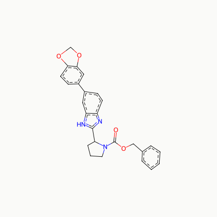 O=C(OCc1ccccc1)N1CCCC1c1nc2ccc(-c3ccc4c(c3)OCO4)cc2[nH]1